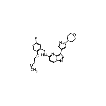 COCCOc1ccc(F)cc1CNc1ccn2ncc(-c3cnn(C4CCOCC4)c3)c2n1